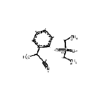 CC(C#N)c1ccccc1.CCS(=O)(=O)CC